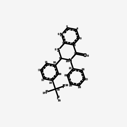 O=C1c2cccnc2SC(c2cccc(C(F)(F)F)c2)N1c1ccccc1